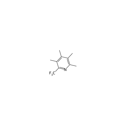 Cc1nc(C(F)(F)F)c(C)c(C)c1C